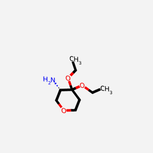 CCOC1(OCC)CCOC[C@@H]1N